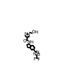 O=C(NC1CCc2cc(-c3noc(C(F)F)n3)ccc21)c1cnn(CCO)c1